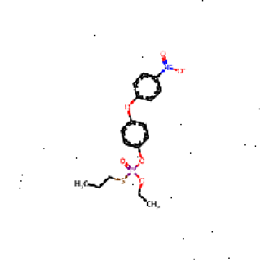 CCCSP(=O)(OCC)Oc1ccc(Oc2ccc([N+](=O)[O-])cc2)cc1